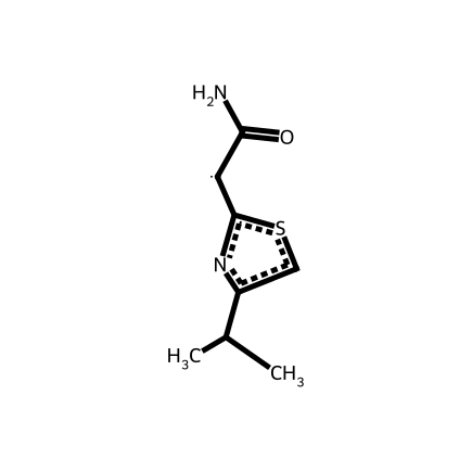 CC(C)c1csc([CH]C(N)=O)n1